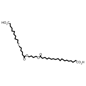 O=C(O)CCCCCCCCCCCCCCCCC(=O)OCCCCOC(=O)CCCCCCCCCCCCCCCCC(=O)O